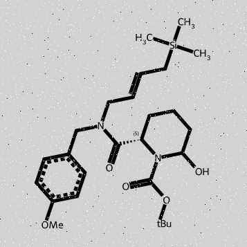 COc1ccc(CN(CC=CC[Si](C)(C)C)C(=O)[C@@H]2CCCC(O)N2C(=O)OC(C)(C)C)cc1